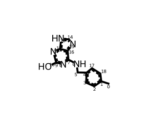 Cc1ccc(CNc2nc(O)nc3[nH]cnc23)cc1